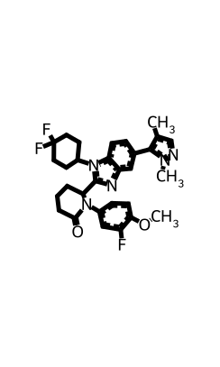 COc1ccc(N2C(=O)CCCC2c2nc3cc(-c4c(C)cnn4C)ccc3n2C2CCC(F)(F)CC2)cc1F